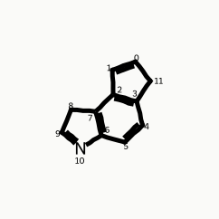 C1=Cc2c(ccc3c2CC=N3)C1